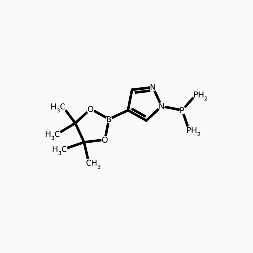 CC1(C)OB(c2cnn(P(P)P)c2)OC1(C)C